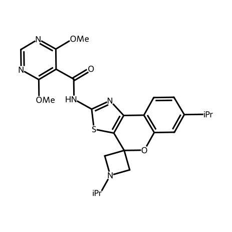 COc1ncnc(OC)c1C(=O)Nc1nc2c(s1)C1(CN(C(C)C)C1)Oc1cc(C(C)C)ccc1-2